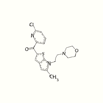 Cc1cc2cc(C(=O)c3cccc(Cl)n3)sc2n1CCN1CCOCC1